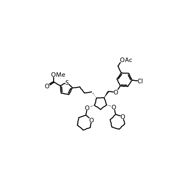 COC(=O)c1ccc(CCC[C@@H]2[C@@H](COc3cc(Cl)cc(COC(C)=O)c3)[C@H](OC3CCCCO3)C[C@@H]2OC2CCCCO2)s1